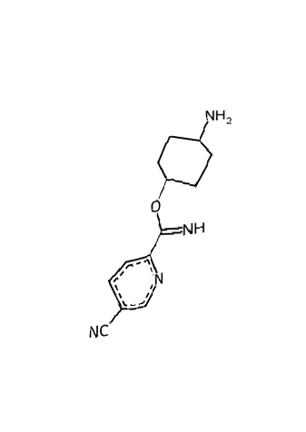 N#Cc1ccc(C(=N)OC2CCC(N)CC2)nc1